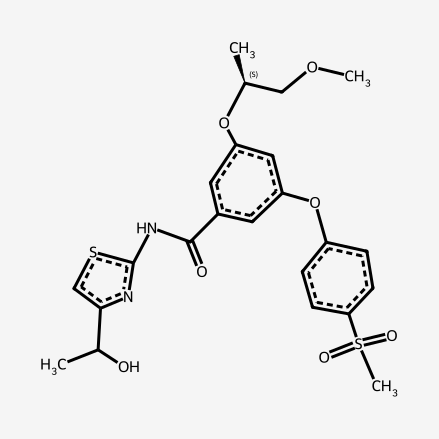 COC[C@H](C)Oc1cc(Oc2ccc(S(C)(=O)=O)cc2)cc(C(=O)Nc2nc(C(C)O)cs2)c1